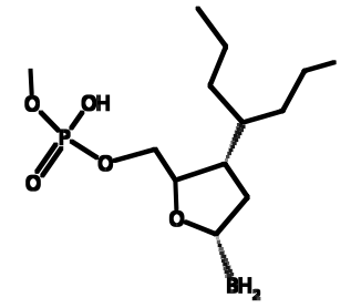 B[C@H]1C[C@@H](C(CCC)CCC)C(COP(=O)(O)OC)O1